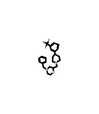 FC(F)(F)c1cccc(C2CCN(CC3CN(Cc4ccccc4)CCO3)CC2)c1